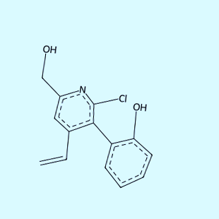 C=Cc1cc(CO)nc(Cl)c1-c1ccccc1O